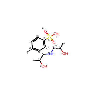 CC(O)CNCC(C)O.Cc1ccc(S(=O)(=O)O)cc1